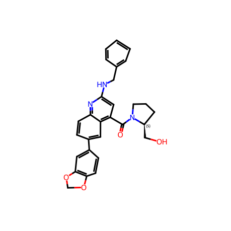 O=C(c1cc(NCc2ccccc2)nc2ccc(-c3ccc4c(c3)OCO4)cc12)N1CCC[C@H]1CO